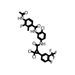 CC(=O)Nc1ccc(C(=O)Nc2cc(NC(=O)C3C(c4ccc(F)c(C(F)(F)F)c4)C3(Cl)Cl)ccc2Cl)c(C)c1F